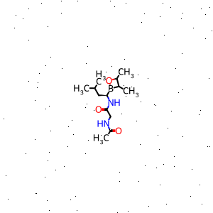 CC(=O)NCC(=O)N[C@@H](CC(C)C)B1OC(C)C1C